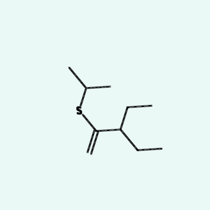 C=C(SC(C)C)C(CC)CC